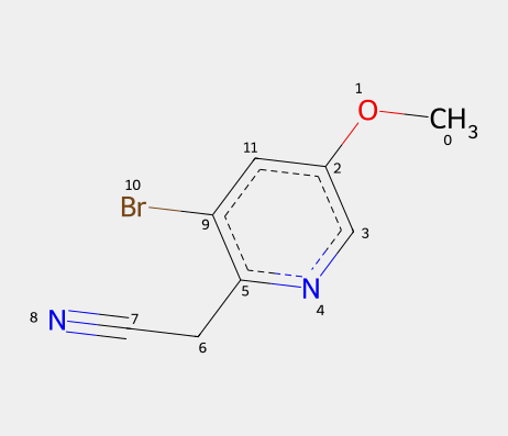 COc1cnc(CC#N)c(Br)c1